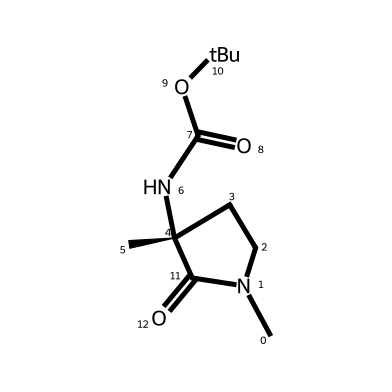 CN1CC[C@@](C)(NC(=O)OC(C)(C)C)C1=O